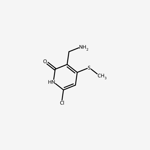 CSc1cc(Cl)[nH]c(=O)c1CN